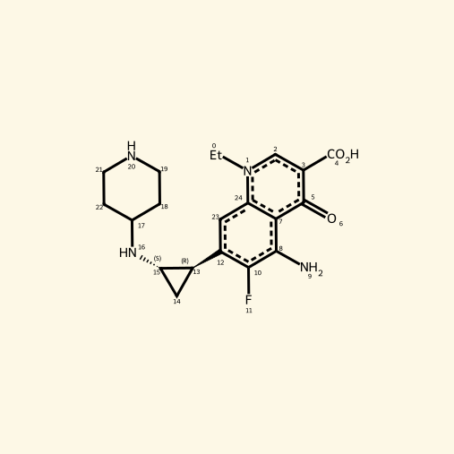 CCn1cc(C(=O)O)c(=O)c2c(N)c(F)c([C@H]3C[C@@H]3NC3CCNCC3)cc21